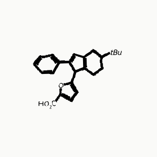 CC(C)(C)C1CCC2=C(C=C(c3ccccc3)C2c2ccc(C(=O)O)o2)C1